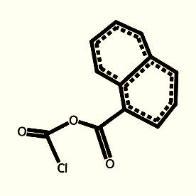 O=C(Cl)OC(=O)c1cccc2ccccc12